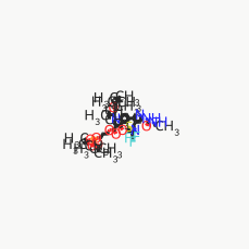 CCNC(=O)Nc1cc(-c2nc(C(F)(F)F)cs2)c(-c2ccc3c(c2)c(=O)c(C(=O)OCCCOP(=O)(OC(C)(C)C)OC(C)(C)C)cn3C(CO[Si](C)(C)C(C)(C)C)C(C)(C)C)cn1